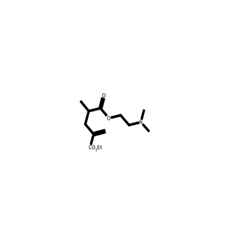 C=C(CC(C)C(=O)OCCN(C)C)C(=O)OCC